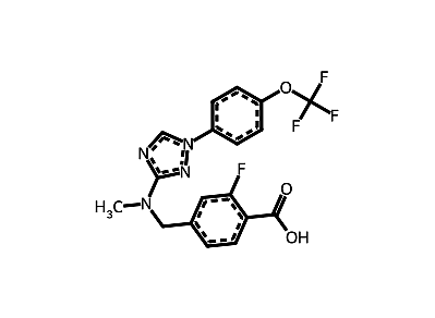 CN(Cc1ccc(C(=O)O)c(F)c1)c1ncn(-c2ccc(OC(F)(F)F)cc2)n1